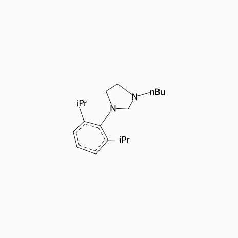 CCCCN1CCN(c2c(C(C)C)cccc2C(C)C)C1